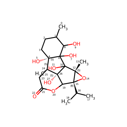 CC1CC[C@@]2(O)C(O)(C1O)C1(O)[C@]3(C)O[C@]3(C(C)C)C3OC(=O)C[C@]2(C)[C@]31O